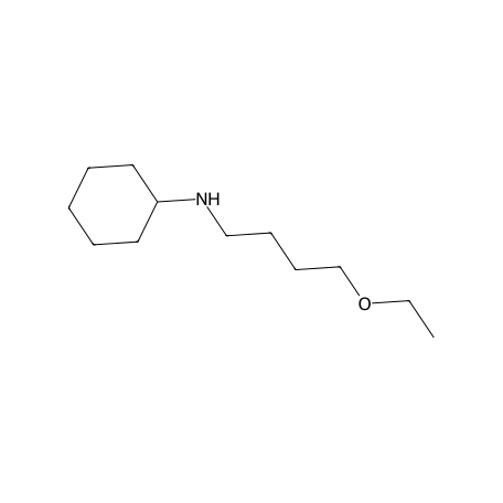 CCOCCCCNC1CCCCC1